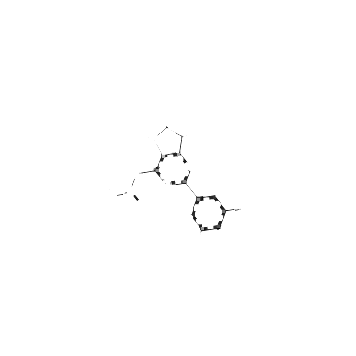 O=S(Oc1nc(-c2cccc(Cl)c2)nc2c1SCC2)C(F)(F)F